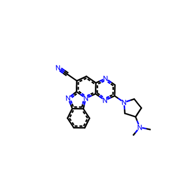 CN(C)C1CCN(c2cnc3cc(C#N)c4nc5ccccc5n4c3n2)C1